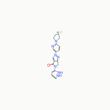 O=C1c2cn(-c3ccc(N4CC[C@H](F)C4)nc3)nc2CN1C1=CC=CNN1